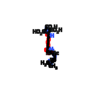 CCc1nn2c(C)cc(C)nc2c1Cc1ccc(/C=C/CN2CCN(CC34CC(C(=O)N[C@@H](CNC(C)=O)C(=O)NCCCOCCOCCOCCCNC(=O)CN5CCN(CC(=O)O)CCN(CC(=O)O)CCN(CC(=O)O)CC5)(C3)C4)CC2)cc1